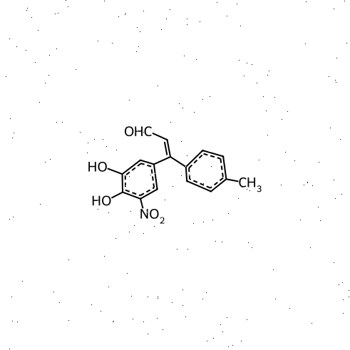 Cc1ccc(C(=CC=O)c2cc(O)c(O)c([N+](=O)[O-])c2)cc1